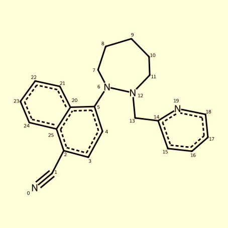 N#Cc1ccc(N2CCCCCN2Cc2ccccn2)c2ccccc12